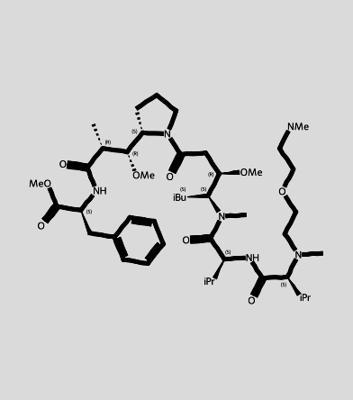 CC[C@H](C)[C@@H]([C@@H](CC(=O)N1CCC[C@H]1[C@H](OC)[C@@H](C)C(=O)N[C@@H](Cc1ccccc1)C(=O)OC)OC)N(C)C(=O)[C@@H](NC(=O)[C@H](C(C)C)N(C)CCOCCNC)C(C)C